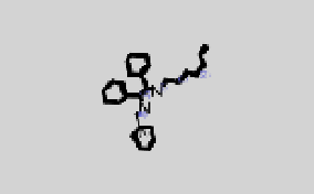 C=C\C=C/C=C/C=N/C(=C(\N=C\[C@@H]1C=CC=CC1)C1=CCCC=C1)c1ccccc1